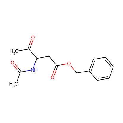 CC(=O)NC(CC(=O)OCc1ccccc1)C(C)=O